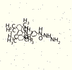 CC1(C)CCC(C)(C)c2c1cc1c(c2NC(=O)c2ccc(NC(=O)NCCN)cc2)C(C)(C)CCC1(C)C